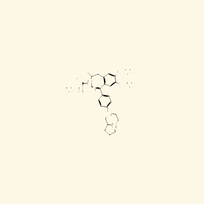 CNC(=O)N1N=C(c2ccc(N3CCN4CCCC4C3)cc2)c2cc(OC)c(OC)cc2CC1C